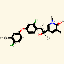 CCOC(=O)c1cc(Oc2ccc([C@H](C)[C@](O)(c3cc(C)c(=O)n(C)c3)C(F)(F)F)c(Cl)c2)ccc1Cl